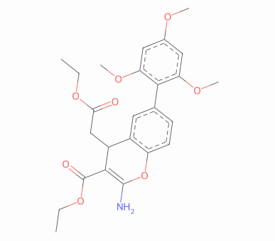 CCOC(=O)CC1C(C(=O)OCC)=C(N)Oc2ccc(-c3c(OC)cc(OC)cc3OC)cc21